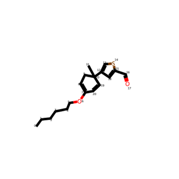 CCCCCCOC1=CCC(C)(c2csc(C=O)c2)C=C1